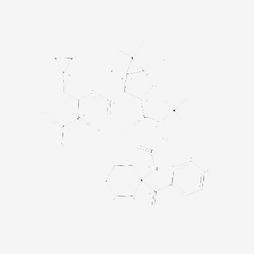 CC(C)(C)[C@H](NC(=O)NC1(C(=O)c2ccccn2)CCCCC1)C(=O)N1C[C@H]2[C@@H]([C@H]1C(=O)NC(CC1CC1)C(=O)C(N)=O)C2(C)C